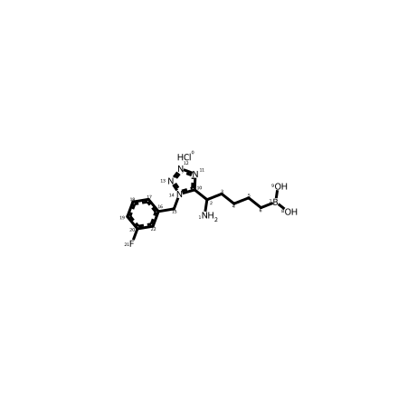 Cl.NC(CCCCB(O)O)c1nnnn1Cc1cccc(F)c1